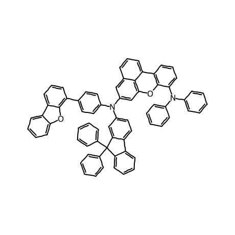 c1ccc(N(c2ccccc2)c2cccc3c2Oc2cc(N(c4ccc(-c5cccc6c5oc5ccccc56)cc4)c4ccc5c(c4)C(c4ccccc4)(c4ccccc4)c4ccccc4-5)cc4cccc-3c24)cc1